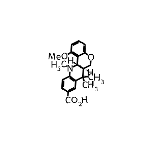 COc1cccc2c1[C@@H]1[C@@H](CO2)C(C)(C)c2cc(C(=O)O)ccc2N1C